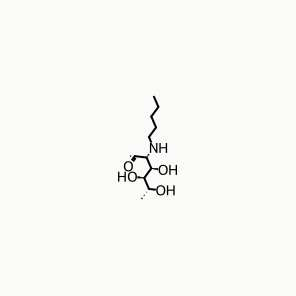 CCCCCN[C@@H]([C]=O)[C@@H](O)[C@H](O)[C@@H](C)O